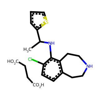 CC(Nc1c(Cl)ccc2c1CCNCC2)c1cccs1.O=C(O)CCC(=O)O